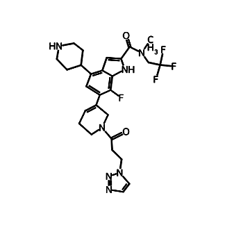 CN(CC(F)(F)F)C(=O)c1cc2c(C3CCNCC3)cc(C3=CCCN(C(=O)CCn4ccnn4)C3)c(F)c2[nH]1